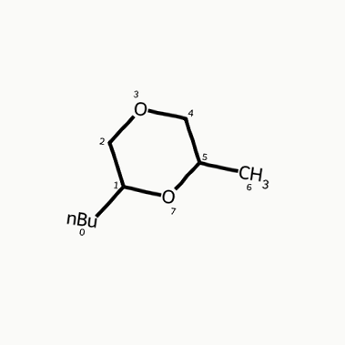 CCCCC1COCC(C)O1